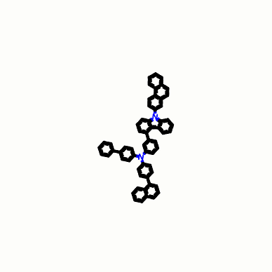 c1ccc(-c2ccc(N(c3ccc(-c4cccc5ccccc45)cc3)c3cccc(-c4cccc5c4c4ccccc4n5-c4ccc5c(ccc6ccccc65)c4)c3)cc2)cc1